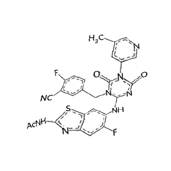 CC(=O)Nc1nc2cc(F)c(Nc3nc(=O)n(-c4cncc(C)c4)c(=O)n3Cc3ccc(F)c(C#N)c3)cc2s1